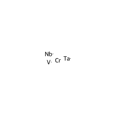 [Cr].[Nb].[Ta].[V]